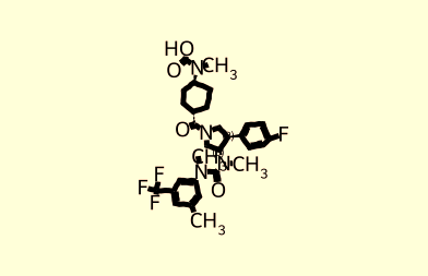 Cc1cc(N(C)C(=O)N(C)[C@@H]2CN(C(=O)[C@H]3CC[C@H](N(C)C(=O)O)CC3)C[C@H]2c2ccc(F)cc2)cc(C(F)(F)F)c1